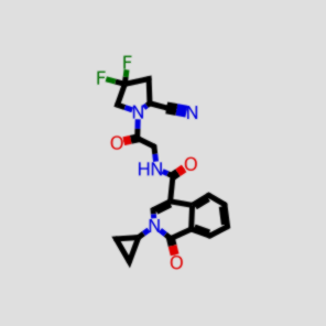 N#CC1CC(F)(F)CN1C(=O)CNC(=O)c1cn(C2CC2)c(=O)c2ccccc12